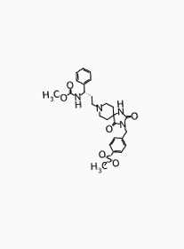 COC(=O)N[C@@H](CCN1CCC2(CC1)NC(=O)N(Cc1ccc(S(C)(=O)=O)cc1)C2=O)c1ccccc1